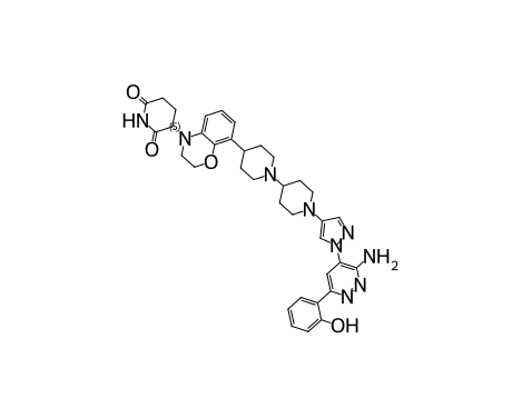 Nc1nnc(-c2ccccc2O)cc1-n1cc(N2CCC(N3CCC(c4cccc5c4OCCN5[C@H]4CCC(=O)NC4=O)CC3)CC2)cn1